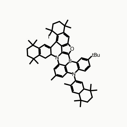 CC1=CC2C(C=C1N1c3ccc(C(C)(C)C)cc3B3c4oc5cc6c(c7c5c4N(c4cc(C)cc1c43)C1CC3=C(C=C71)C(C)(C)CCC3(C)C)C(C)(I)CCC6(C)C)C(C)(C)CCC2(C)C